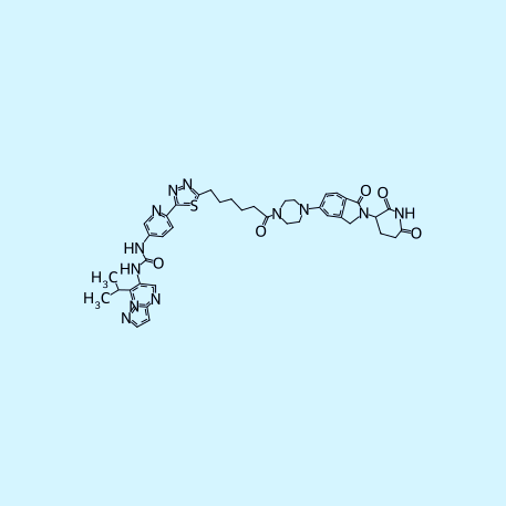 CC(C)c1c(NC(=O)Nc2ccc(-c3nnc(CCCCCC(=O)N4CCN(c5ccc6c(c5)CN(C5CCC(=O)NC5=O)C6=O)CC4)s3)nc2)cnc2ccnn12